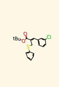 CC(C)(C)OC(=O)/C(=C/c1cccc(Cl)c1)CSc1ccccc1